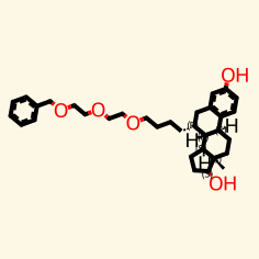 C[C@]12CC[C@@H]3c4ccc(O)cc4C[C@@H](CCCCOCCOCCOCc4ccccc4)[C@H]3[C@@H]1CC[C@@H]2O